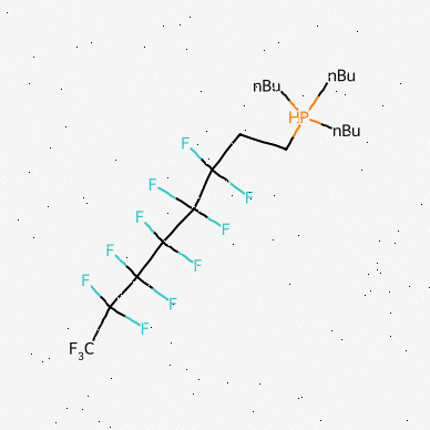 CCCC[PH](CCCC)(CCCC)CCC(F)(F)C(F)(F)C(F)(F)C(F)(F)C(F)(F)C(F)(F)F